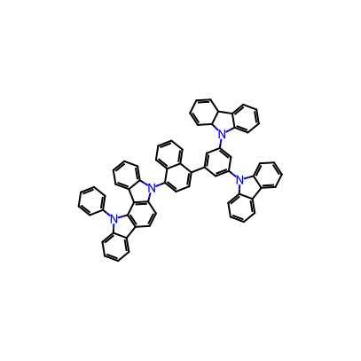 C1=CC2c3ccccc3N(c3cc(-c4ccc(-n5c6ccccc6c6c5ccc5c7ccccc7n(-c7ccccc7)c56)c5ccccc45)cc(-n4c5ccccc5c5ccccc54)c3)C2C=C1